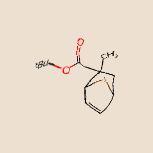 CC(C)(C)OC(=O)C1(C)CC2C=CC1S2